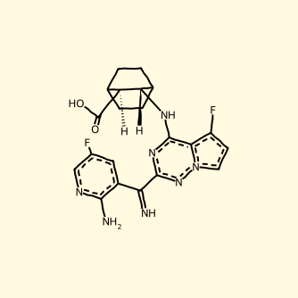 N=C(c1nc(N[C@H]2C3CCC(CC3)[C@@H]2C(=O)O)c2c(F)ccn2n1)c1cc(F)cnc1N